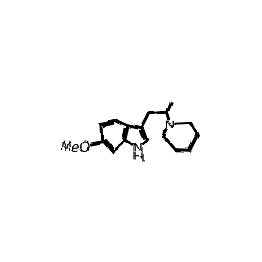 COc1ccc2c(CC(C)N3CCCCC3)c[nH]c2c1